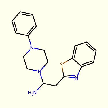 NC(Cc1nc2ccccc2s1)N1CCN(c2ccccc2)CC1